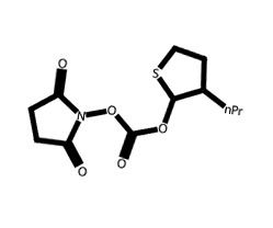 CCCC1CCSC1OC(=O)ON1C(=O)CCC1=O